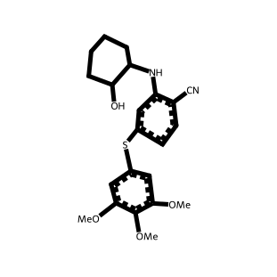 COc1cc(Sc2ccc(C#N)c(NC3CCCCC3O)c2)cc(OC)c1OC